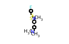 CN(C)Cc1ccc([C@H]2CC[C@H](N(C)C(=S)SCc3ccc(F)cc3)CC2)cc1